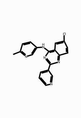 Cc1ccc(Nc2nc(-c3cccnc3)nc3ccc(Cl)cc23)cn1